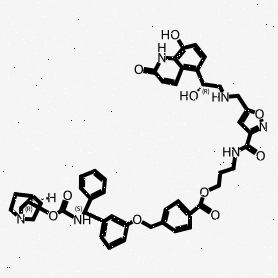 O=C(N[C@@H](c1ccccc1)c1cccc(OCc2ccc(C(=O)OCCCNC(=O)c3cc(CNC[C@H](O)c4ccc(O)c5[nH]c(=O)ccc45)on3)cc2)c1)O[C@H]1CN2CCC1CC2